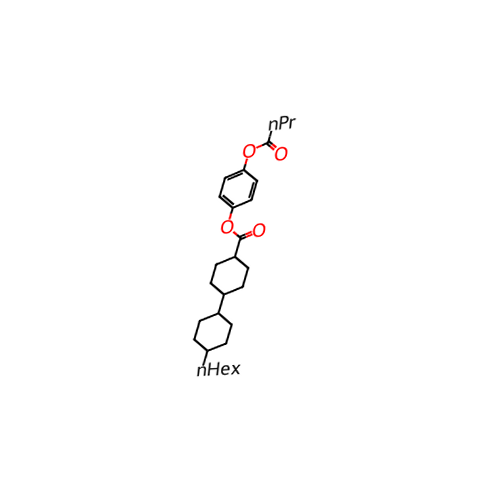 CCCCCCC1CCC(C2CCC(C(=O)Oc3ccc(OC(=O)CCC)cc3)CC2)CC1